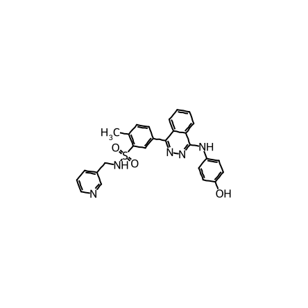 Cc1ccc(-c2nnc(Nc3ccc(O)cc3)c3ccccc23)cc1S(=O)(=O)NCc1cccnc1